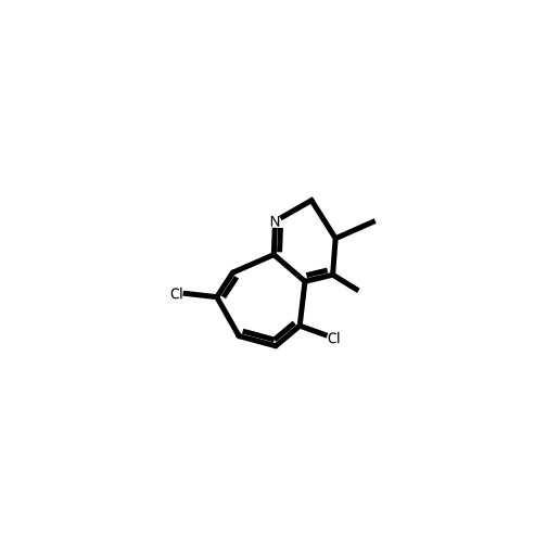 CC1=C2C(Cl)=C=CC(Cl)=CC2=NCC1C